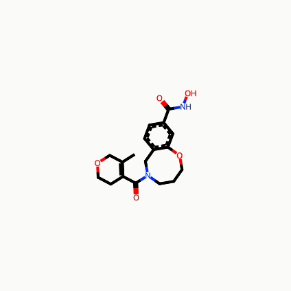 CC1=C(C(=O)N2CCCOc3cc(C(=O)NO)ccc3C2)CCOC1